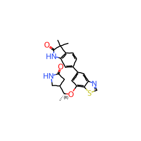 C[C@@H](Oc1cc(-c2ccc3c(c2)NC(=O)C3(C)C)cc2ncsc12)C1CNC(=O)C1